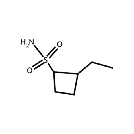 CCC1CCC1S(N)(=O)=O